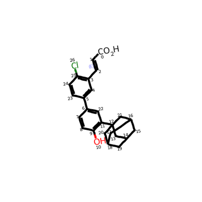 O=C(O)/C=C/c1cc(-c2ccc(O)c(C34CC5CC(CC(C5)C3)C4)c2)ccc1Cl